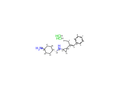 CC/C(=C\c1ccccc1)C1CC1NC[C@H]1CC[C@H](N)CC1.Cl.Cl